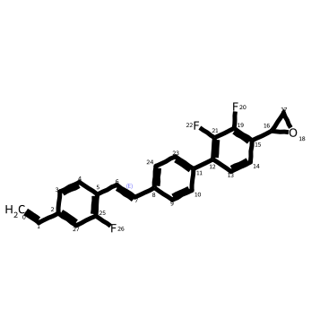 C=Cc1ccc(/C=C/c2ccc(-c3ccc(C4CO4)c(F)c3F)cc2)c(F)c1